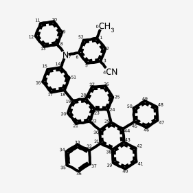 Cc1cc(C#N)cc(N(c2ccccc2)c2cccc(-c3ccc4c5c(cccc35)-c3c-4c(C4=C=C=CC=C4)c4ccccc4c3-c3ccccc3)c2)c1